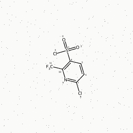 O=S(=O)(Cl)c1ccc(Cl)nc1C(F)(F)F